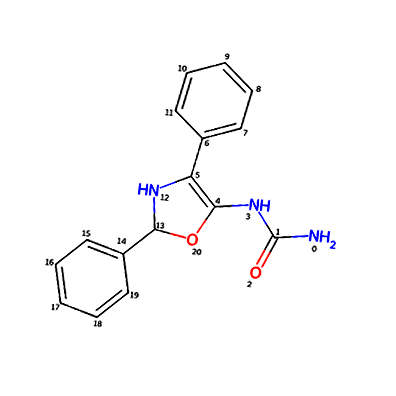 NC(=O)NC1=C(c2ccccc2)NC(c2ccccc2)O1